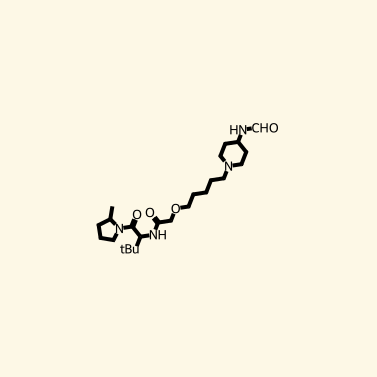 CC1CCCN1C(=O)C(NC(=O)COCCCCCN1CCC(NC=O)CC1)C(C)(C)C